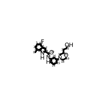 Cc1ccc(F)c2cc(C(=O)Nc3cccc(N4CCOC(CCO)C4)c3)[nH]c12